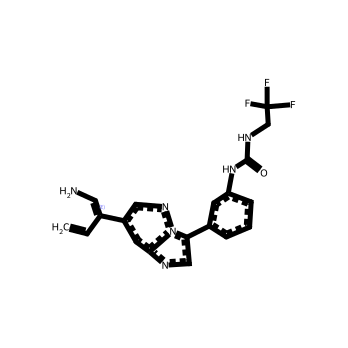 C=C/C(=C\N)c1cnn2c(-c3cccc(NC(=O)NCC(F)(F)F)c3)cnc2c1